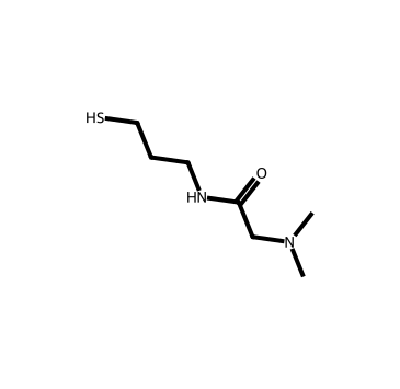 CN(C)CC(=O)NCCCS